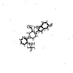 CC(C)(C)Nc1cccnc1N1CCN(c2cc3cc(F)ccc3[nH]2)C(C=O)C1